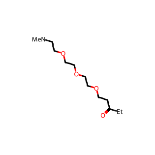 CCC(=O)CCOCCOCCOCCNC